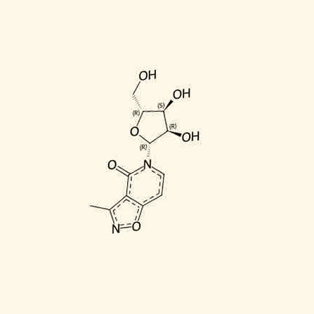 Cc1noc2ccn([C@@H]3O[C@H](CO)[C@@H](O)[C@H]3O)c(=O)c12